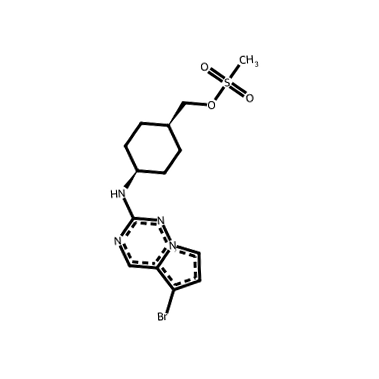 CS(=O)(=O)OC[C@H]1CC[C@@H](Nc2ncc3c(Br)ccn3n2)CC1